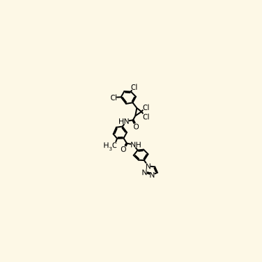 Cc1ccc(NC(=O)C2C(c3cc(Cl)cc(Cl)c3)C2(Cl)Cl)cc1C(=O)Nc1ccc(-n2ccnn2)cc1